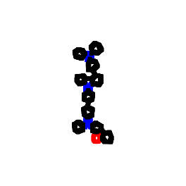 c1ccc(N(c2ccccc2)c2ccc(-c3cccc4c3c3ccccc3n4-c3ccc(-c4ccc(N(c5ccccc5)c5ccc6c(c5)oc5ccccc56)cc4)cc3)cc2)cc1